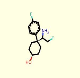 NC(CF)[C@]1(c2ccc(F)cc2)CC[C@H](O)CC1